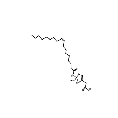 CCCCCCCC/C=C\CCCCCCCC(=O)NC1(CC)NC(CC(=O)O)=CS1